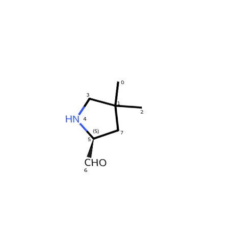 CC1(C)CN[C@H](C=O)C1